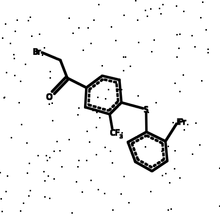 CC(C)c1ccccc1Sc1ccc(C(=O)CBr)cc1C(F)(F)F